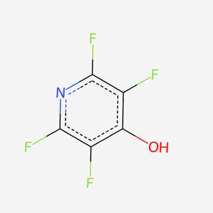 Oc1c(F)c(F)nc(F)c1F